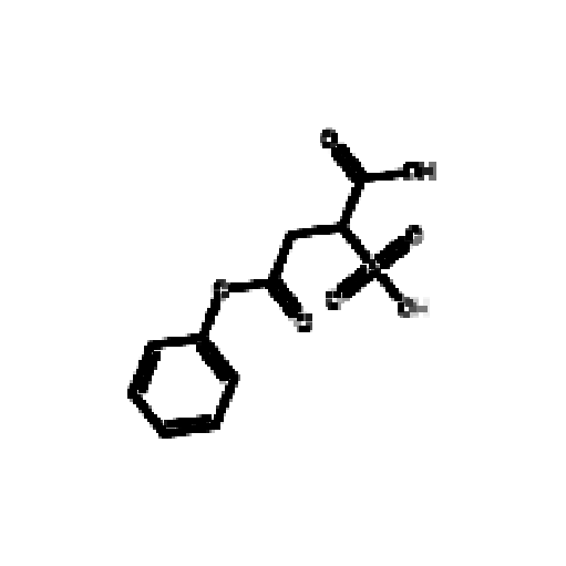 O=C(CC(C(=O)O)S(=O)(=O)O)Oc1ccccc1